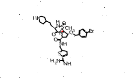 CS(=O)(=O)N[C@H](CCC1CCNCC1)C(=O)N1C[C@H](OCc2ccc(Br)cc2)C[C@H]1C(=O)NCC1CC=C(C(=N)N)S1